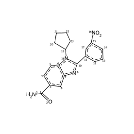 NC(=O)c1ccc2c(c1)nc(-c1cccc([N+](=O)[O-])c1)n2C1CCCC1